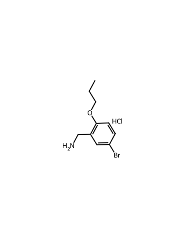 CCCOc1ccc(Br)cc1CN.Cl